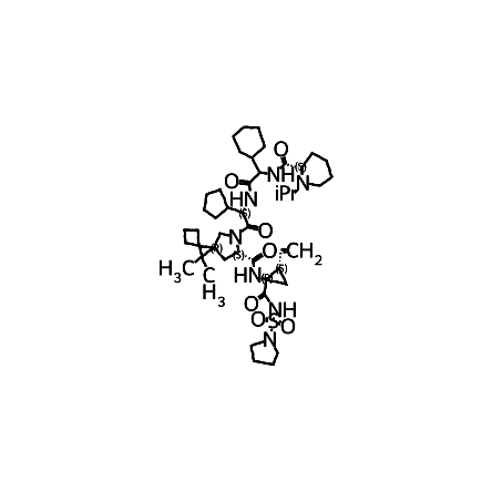 C=C[C@@H]1C[C@]1(NC(=O)[C@@H]1C[C@@]2(CN1C(=O)[C@@H](NC(=O)C(NC(=O)[C@@H]1CCCCN1C(C)C)C1CCCCC1)C1CCCC1)C(C)(C)C21CCC1)C(=O)NS(=O)(=O)N1CCCC1